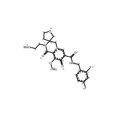 CCCCOc1c2n(cc(C(=O)NCc3ccc(F)cc3F)c1=O)CC1(CCOC1)N(CCOC)C2=O